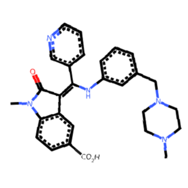 CN1CCN(Cc2cccc(NC(=C3C(=O)N(C)c4ccc(C(=O)O)cc43)c3cccnc3)c2)CC1